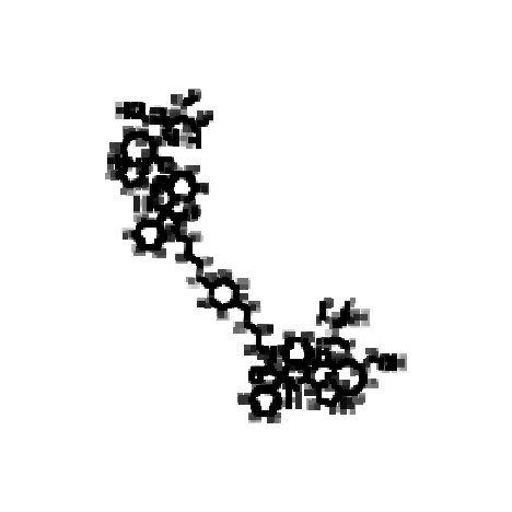 CC[C@H](NC)C(=O)C[C@@H]1C(=O)N2[C@@H](CC[C@@H]1CO)CC[C@H]2C(=O)NC(C(=O)NCCCCC1CCC(CCCCNC(=O)C(NC(=O)[C@@H]2CC[C@@H]3CC[C@H](CO)[C@H](NC(=O)[C@H](CC)NC)C(=O)N32)(c2ccccc2)c2ccccc2)CC1)(c1ccccc1)c1ccccc1